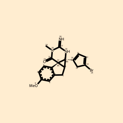 COc1ccc2c(c1)CC1[C@]3(C4=CC=C(Br)C4)NC(=N)N(C)C(=O)[C@@]213